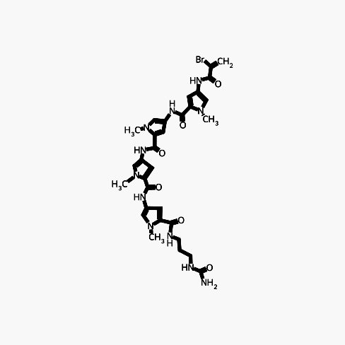 C=C(Br)C(=O)Nc1cc(C(=O)Nc2cc(C(=O)Nc3cc(C(=O)Nc4cc(C(=O)NCCCNC(N)=O)n(C)c4)n(C)c3)n(C)c2)n(C)c1